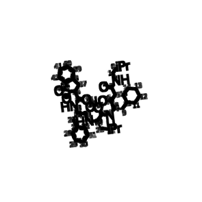 CC(C)CNC(=O)C[C@H](O)[C@H](CC1CCCCC1)NC(=O)[C@H](CC(C)C)NC(=O)[C@H](Cc1ccccc1)NC(=O)C1Cc2ccccc2S1(=O)=O